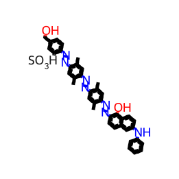 Cc1cc(N=Nc2ccc(CO)cc2S(=O)(=O)O)c(C)cc1N=Nc1cc(C)c(N=Nc2ccc3cc(Nc4ccccc4)ccc3c2O)cc1C